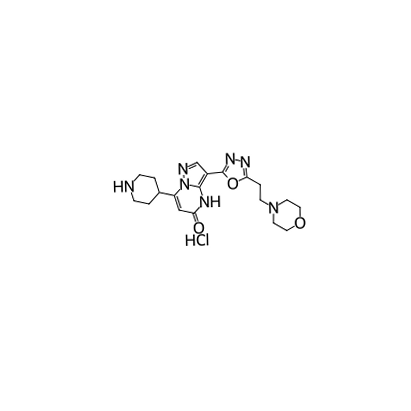 Cl.O=c1cc(C2CCNCC2)n2ncc(-c3nnc(CCN4CCOCC4)o3)c2[nH]1